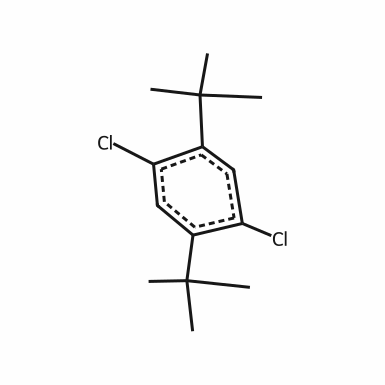 CC(C)(C)c1cc(Cl)c(C(C)(C)C)cc1Cl